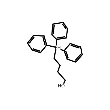 OCCCC[PH](c1ccccc1)(c1ccccc1)c1ccccc1